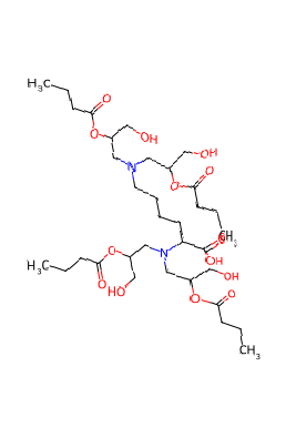 CCCC(=O)OC(CO)CN(CCCCC(C(=O)O)N(CC(CO)OC(=O)CCC)CC(CO)OC(=O)CCC)CC(CO)OC(=O)CCC